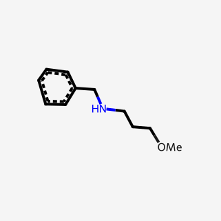 [CH2]OCCCNCc1ccccc1